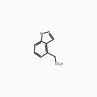 O=C(O)Cc1cccc2[se]ncc12